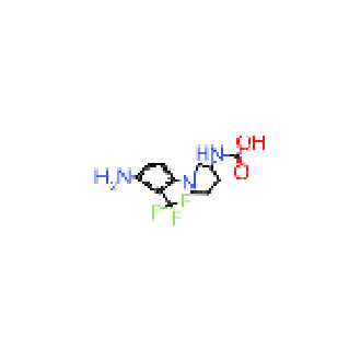 Nc1ccc(N2CCC[C@H](NC(=O)O)C2)c(C(F)(F)F)c1